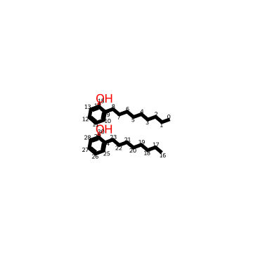 CCCCCCCCCc1ccccc1O.CCCCCCCCc1ccccc1O